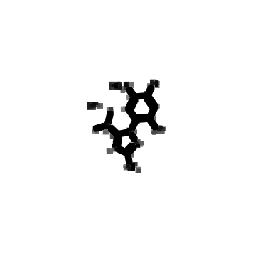 CCc1cc(C(C)C)c(-n2nc(C(F)(F)F)nc2N(C)C)cc1S(=O)(=O)O.F